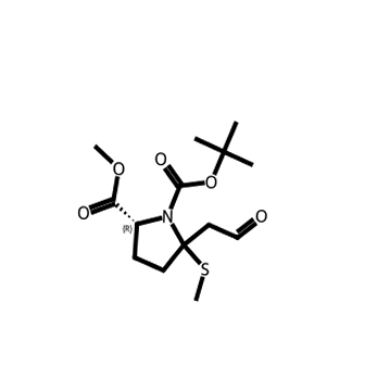 COC(=O)[C@H]1CCC(CC=O)(SC)N1C(=O)OC(C)(C)C